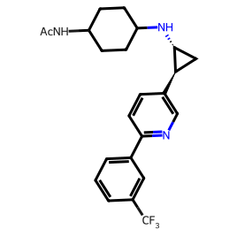 CC(=O)NC1CCC(N[C@@H]2C[C@H]2c2ccc(-c3cccc(C(F)(F)F)c3)nc2)CC1